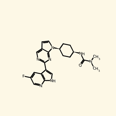 CN(C)C(=O)N[C@H]1CC[C@@H](n2ccc3cnc(-c4c[nH]c5ncc(F)cc45)nc32)CC1